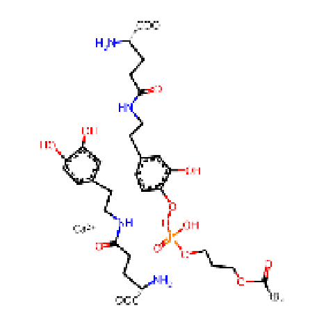 CC(C)(C)C(=O)OCCCOP(=O)(O)OOc1ccc(CCNC(=O)CC[C@H](N)C(=O)[O-])cc1O.N[C@@H](CCC(=O)NCCc1ccc(O)c(O)c1)C(=O)[O-].[Ca+2]